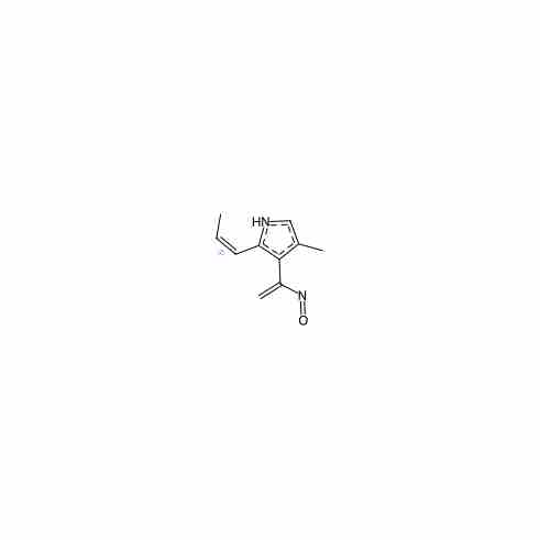 C=C(N=O)c1c(C)c[nH]c1/C=C\C